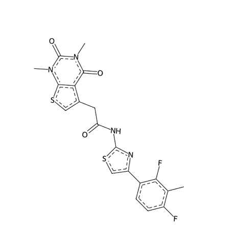 Cc1c(F)ccc(-c2csc(NC(=O)Cc3csc4c3c(=O)n(C)c(=O)n4C)n2)c1F